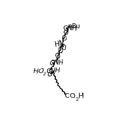 CCCCNC(=O)COCCOCCNC(=O)COCCOCCNC(=O)CCC(NC(=O)CCCCCCCCCCCCCCC(=O)O)C(=O)O